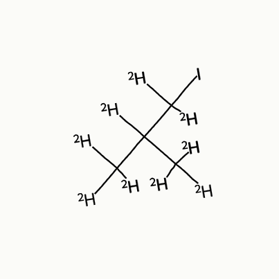 [2H]C([2H])([2H])C([2H])(C([2H])([2H])[2H])C([2H])([2H])I